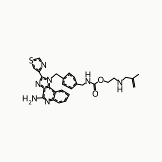 C=C(C)CNCCOC(=O)NCc1ccc(Cn2c(-c3cscn3)nc3c(N)nc4ccccc4c32)cc1